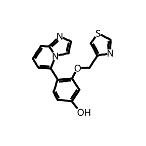 Oc1ccc(-c2cccc3nccn23)c(OCc2cscn2)c1